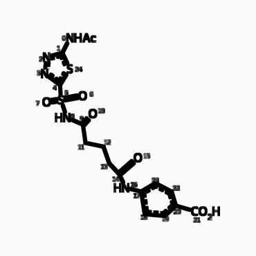 CC(=O)Nc1nnc(S(=O)(=O)NC(=O)CCCC(=O)Nc2ccc(C(=O)O)cc2)s1